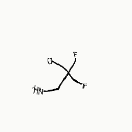 [NH]CC(F)(F)Cl